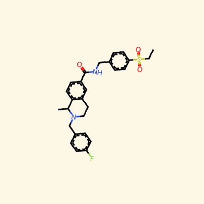 CCS(=O)(=O)c1ccc(CNC(=O)c2ccc3c(c2)CCN(Cc2ccc(F)cc2)C3C)cc1